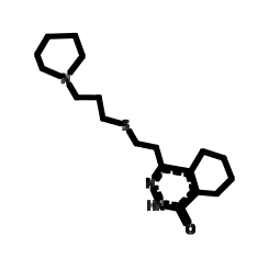 O=c1[nH]nc(CCSCCCN2CCCCC2)c2c1CCCC2